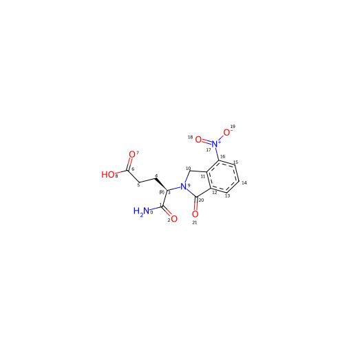 NC(=O)[C@@H](CCC(=O)O)N1Cc2c(cccc2[N+](=O)[O-])C1=O